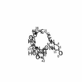 COc1ccc2nc3c(nc2c1)O[C@H]1CN(C(=O)[C@H](C(C)(C)C)NC(=O)O[C@@H]2CC2CCCCC3)[C@H](C(=O)O)[C@@H]1CC(C)C